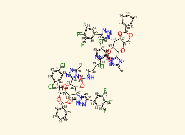 Cc1nc([C@H]2OC3CO[C@H](c4ccccc4)OC3[C@@H](n3cc(-c4cc(F)c(F)c(F)c4)nn3)[C@@H]2OC(=O)NCCCCNC(=O)O[C@@H]2[C@@H](n3cc(-c4cc(F)c(F)c(F)c4)nn3)[C@H]3O[C@@H](c4ccccc4)OC[C@H]3O[C@H]2c2nc(C)nn2-c2cc(Cl)ccc2Cl)n(-c2cc(Cl)ccc2Cl)n1